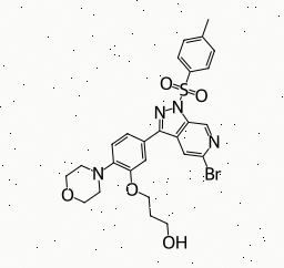 Cc1ccc(S(=O)(=O)n2nc(-c3ccc(N4CCOCC4)c(OCCCO)c3)c3cc(Br)ncc32)cc1